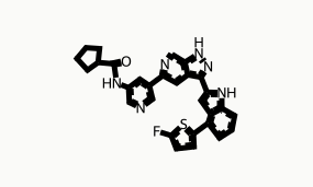 O=C(Nc1cncc(-c2cc3c(-c4cc5c(-c6ccc(F)s6)cccc5[nH]4)n[nH]c3cn2)c1)C1CCCC1